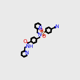 N#Cc1ccc(S(=O)(=O)N(Cc2ccc(C(=O)NCc3ccccn3)cc2)Cc2ccccn2)cc1